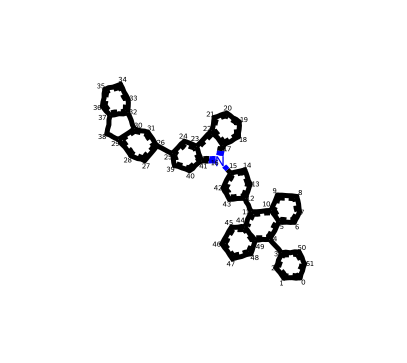 c1ccc(-c2c3ccccc3c(-c3ccc(-n4c5ccccc5c5cc(-c6ccc7c(c6)-c6ccccc6C7)ccc54)cc3)c3ccccc23)cc1